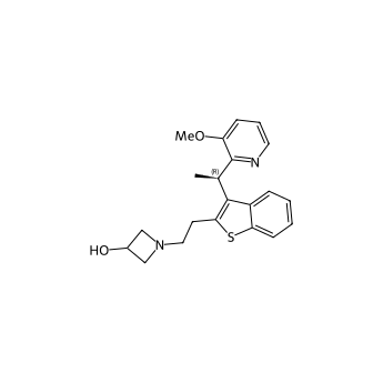 COc1cccnc1[C@H](C)c1c(CCN2CC(O)C2)sc2ccccc12